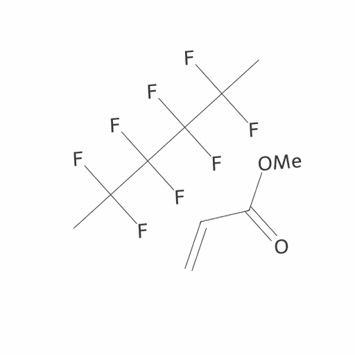 C=CC(=O)OC.CC(F)(F)C(F)(F)C(F)(F)C(C)(F)F